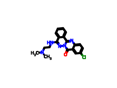 CN(C)CCNc1nn2c(=O)c3cc(Cl)ccc3nc2c2ccccc12